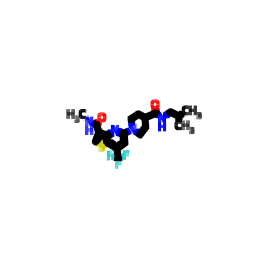 CNC(=O)c1csc2c(C(F)(F)F)cc(N3CCC(C(=O)NCC(C)C)CC3)nc12